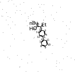 [CH2]CC(c1ccc(-c2ccccc2)cc1)C(O)CCCC